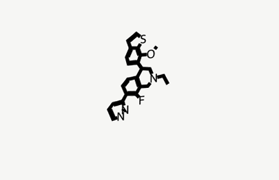 CCN1Cc2c(ccc(-c3cccnn3)c2F)C(c2ccc3ccsc3c2OC)C1